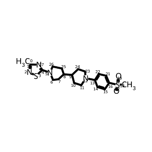 Cc1nsc(N2CCC(C3CCN(c4ccc(S(C)(=O)=O)cc4)CC3)CC2)n1